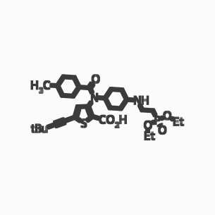 CCOP(=O)(CCNC1CCC(N(C(=O)C2CCC(C)CC2)c2cc(C#CC(C)(C)C)sc2C(=O)O)CC1)OCC